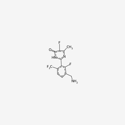 Cc1nc(-c2c(C(F)(F)F)ccc(CN)c2F)[nH]c(=O)c1F